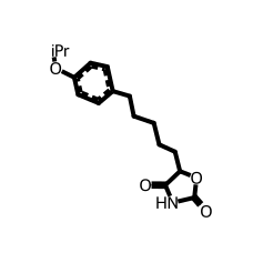 CC(C)Oc1ccc(CCCCCC2OC(=O)NC2=O)cc1